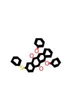 O=C1c2ccc(Sc3ccccc3)cc2C(=O)c2c1c(Oc1ccccc1)c1ccccc1c2Oc1ccccc1